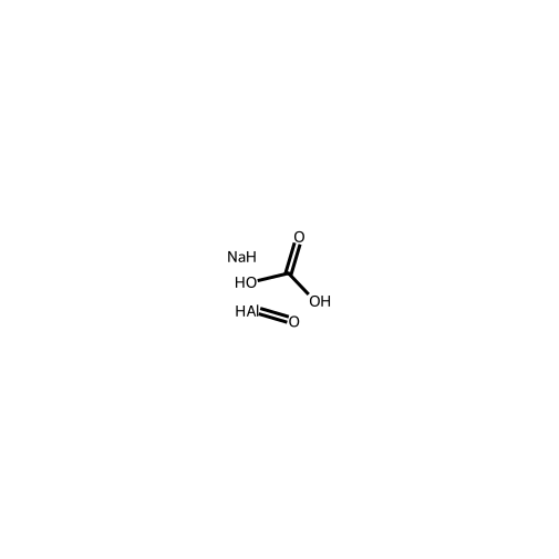 O=C(O)O.[NaH].[O]=[AlH]